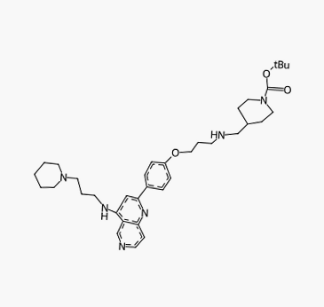 CC(C)(C)OC(=O)N1CCC(CNCCCOc2ccc(-c3cc(NCCCN4CCCCC4)c4cnccc4n3)cc2)CC1